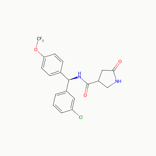 O=C1CC(C(=O)N[C@H](c2ccc(OC(F)(F)F)cc2)c2cccc(Cl)c2)CN1